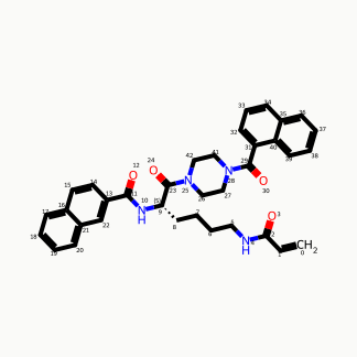 C=CC(=O)NCCCC[C@H](NC(=O)c1ccc2ccccc2c1)C(=O)N1CCN(C(=O)c2cccc3ccccc23)CC1